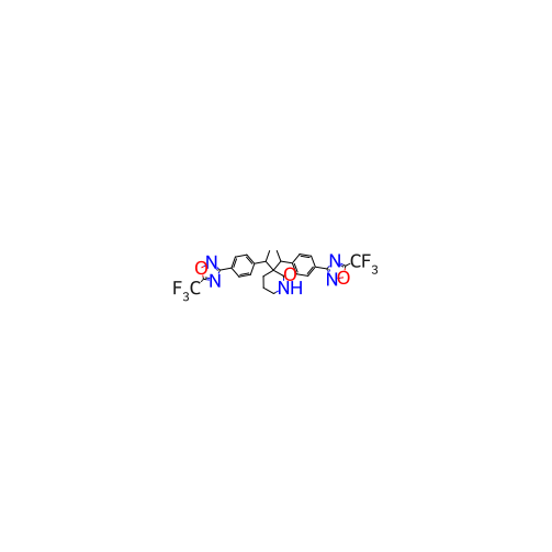 CC(c1ccc(-c2noc(C(F)(F)F)n2)cc1)C1(C(C)c2ccc(-c3noc(C(F)(F)F)n3)cc2)CCCNC1=O